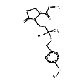 COC(=O)[C@@H]1CSC(=S)N1CCC(C)(C)SCc1ccc(OC)cc1